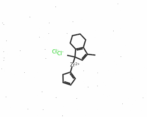 CC1=C[C](C)([Zr+2][C]2=CC=CC2)C2=C1CCCC2.[Cl-].[Cl-]